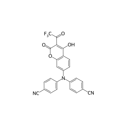 N#Cc1ccc(N(c2ccc(C#N)cc2)c2ccc3c(O)c(C(=O)C(F)(F)F)c(=O)oc3c2)cc1